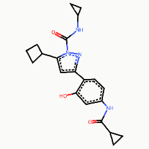 O=C(Nc1ccc(-c2cc(C3CCC3)n(C(=O)NC3CC3)n2)c(O)c1)C1CC1